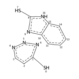 Sc1ccnnn1.Sc1nc2ccccc2[nH]1